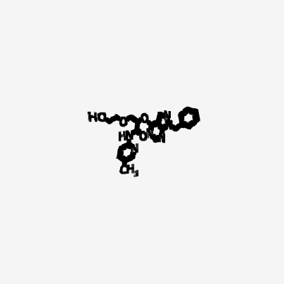 Cc1ccc(NC(=O)C(COCCO)Oc2ncnc3c2cnn3Cc2ccccc2)nc1